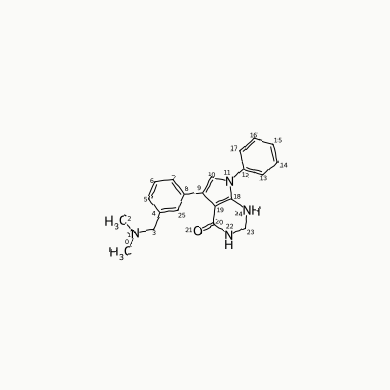 CN(C)Cc1cccc(-c2cn(-c3ccccc3)c3c2C(=O)NCN3)c1